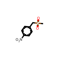 CS(=O)(=O)Cc1ccc([N+](=O)[O-])cc1